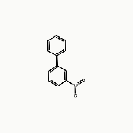 O=[N+]([O-])c1[c]ccc(-c2ccccc2)c1